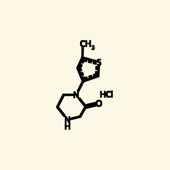 Cc1cc(N2CCNCC2=O)cs1.Cl